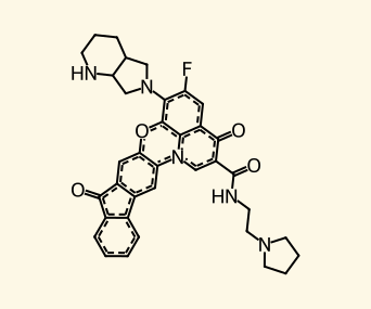 O=C(NCCN1CCCC1)c1cn2c3cc4c(cc3oc3c(N5CC6CCCNC6C5)c(F)cc(c1=O)c32)c(=O)c1ccccc14